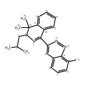 CC(C)CC1N=C(c2cc3cccc(F)c3nn2)c2ccccc2C1(C)C